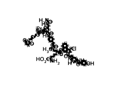 CC(C)[C@H](NC(=O)OCCOCCN1C(=O)C=CC1=O)C(=O)N[C@@H](CCCNC(N)=O)C(=O)Nc1ccc(COC(=O)N(C)CCN(CCCC[C@H](N)C(=O)O)C(=O)Oc2cc3c(c4ccccc24)[C@H](CCl)CN3C(=O)c2cc3c([nH]2)N=CC(NC(=O)c2ccc(O)cc2)C3)cc1